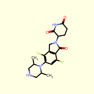 CC1CNCC(C)N1c1cc(F)c2c(c1F)CN(C1CCC(=O)NC1=O)C2=O